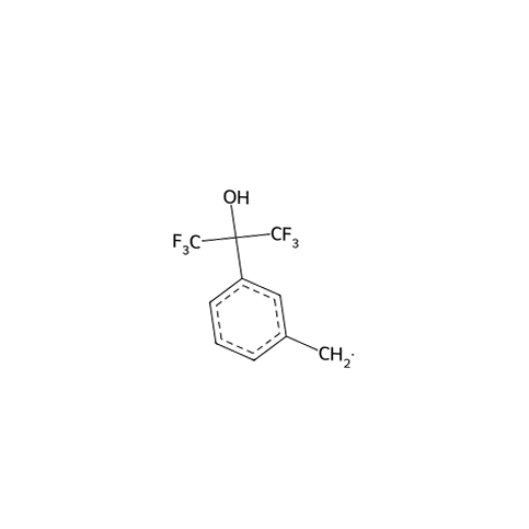 [CH2]c1cccc(C(O)(C(F)(F)F)C(F)(F)F)c1